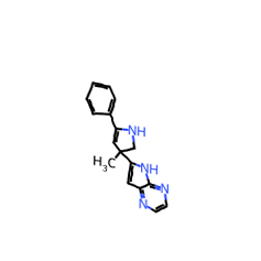 CC1(c2cc3nccnc3[nH]2)C=C(c2ccccc2)NC1